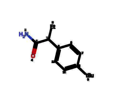 CCC(C(N)=O)c1ccc(C(C)(C)C)cc1